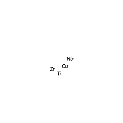 [Cu].[Nb].[Ti].[Zr]